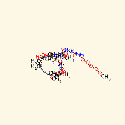 CCOCCOCCOCCOCCOCCNC(=O)CN1CCC(NC(=O)O[C@@H]2CC[C@@H](C[C@@H](N)[C@@H]3C[C@@H](OC)[C@H](C)/C=C(\C)[C@@H](O)[C@@H](O)C(=O)[C@H](C)C[C@H](C)/C=C/C=C/C=C(\C)[C@@H](OC)C[C@@H]4CC[C@@H](C)[C@@](O)(O4)C(=O)C(=O)N4CCCC[C@H]4C(=O)O3)C[C@H]2OC)CC1